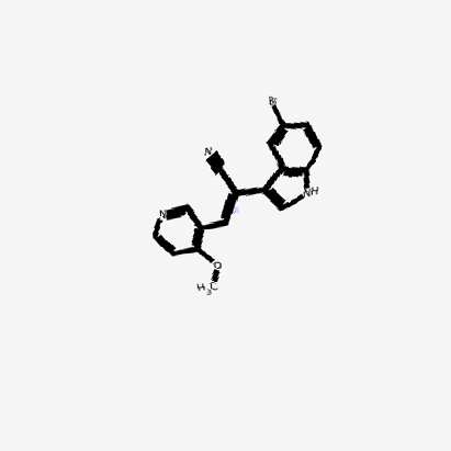 COc1ccncc1/C=C(\C#N)c1c[nH]c2ccc(Br)cc12